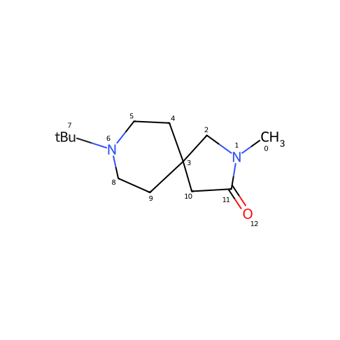 CN1CC2(CCN(C(C)(C)C)CC2)CC1=O